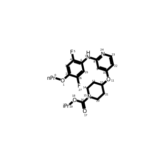 CCCOc1cc(F)c(Nc2cc(OC3CCN(C(=O)OC(C)C)CC3)ccn2)cc1F